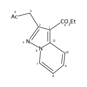 CCOC(=O)c1c(CC(C)=O)nn2ccccc12